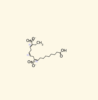 CC/C(=C\C/C=C\C/C(=C\CCCCCCCC(=O)O)[N+](=O)[O-])[N+](=O)[O-]